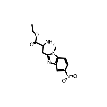 CCOC(=O)C(N)Cc1nc2cc([N+](=O)[O-])ccc2n1C